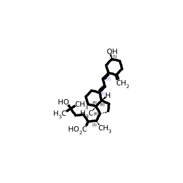 C=C1CC[C@H](O)C/C1=C/C=C1\CCC[C@]2(C)[C@@H]([C@H](C)C(CCC(C)(C)O)C(=O)O)CC[C@@H]12